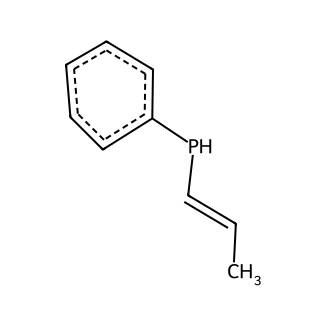 C/C=C/Pc1ccccc1